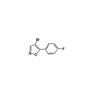 Fc1ccc(-c2oncc2Br)cc1